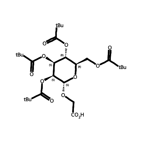 CC(C)(C)C(=O)OC[C@H]1O[C@H](OCC(=O)O)[C@@H](OC(=O)C(C)(C)C)[C@@H](OC(=O)C(C)(C)C)[C@@H]1OC(=O)C(C)(C)C